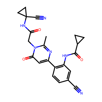 Cc1nc(-c2ccc(C#N)cc2NC(=O)C2CC2)cc(=O)n1CC(=O)NC1(C#N)CC1